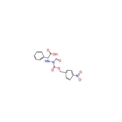 O=CN(N[C@@H](C(=O)O)c1ccccc1)C(=O)OCc1ccc([N+](=O)[O-])cc1